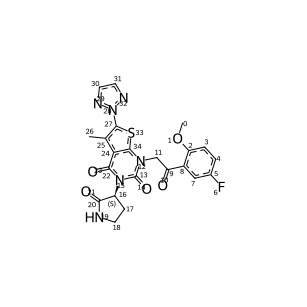 COc1ccc(F)cc1C(=O)Cn1c(=O)n([C@H]2CCNC2=O)c(=O)c2c(C)c(-n3nccn3)sc21